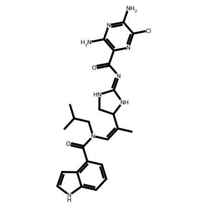 C/C(=C/N(CC(C)C)C(=O)c1cccc2[nH]ccc12)C1CN/C(=N\C(=O)c2nc(Cl)c(N)nc2N)N1